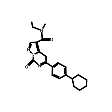 CCN(C)C(=O)c1cnn2c1CC(c1ccc(C3CCCCC3)cc1)=NC2=O